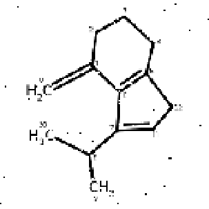 C=C1CCCC2=C1C(C(C)C)=CC2